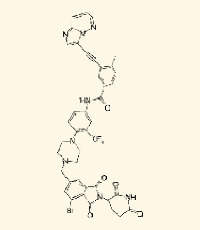 Cc1ccc(C(=O)Nc2ccc(N3CCN(Cc4cc(Br)c5c(c4)C(=O)N(C4CCC(=O)NC4=O)C5=O)CC3)c(C(F)(F)F)c2)cc1C#Cc1cnc2cccnn12